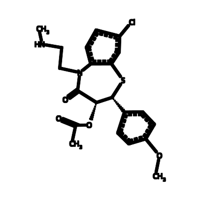 CNCCN1C(=O)[C@@H](OC(C)=O)[C@@H](c2ccc(OC)cc2)Sc2cc(Cl)ccc21